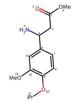 COC(=O)CC(N)c1ccc(OC(C)C)c(OC)c1